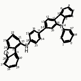 c1ccc(-n2c3ccccc3c3ccc(-c4ccc(Nc5cccc6oc7ccccc7c56)cc4)cc32)cc1